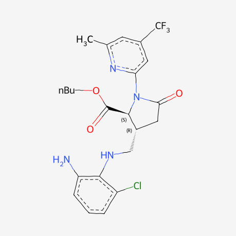 CCCCOC(=O)[C@@H]1[C@@H](CNc2c(N)cccc2Cl)CC(=O)N1c1cc(C(F)(F)F)cc(C)n1